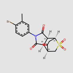 Cc1cc(N2C(=O)[C@@H]3[C@H](C2=O)[C@@H]2CS(=O)(=O)[C@H]3CC2=O)ccc1Br